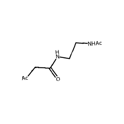 CC(=O)CC(=O)NCCNC(C)=O